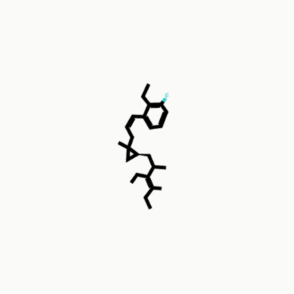 CC/C(C)=C(\CC)C(C)C[C@H]1CC1(C)C/C=C\c1cccc(F)c1CC